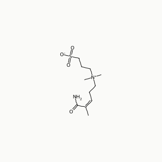 CC(=CCC[N+](C)(C)CCCS(=O)(=O)[O-])C(N)=O